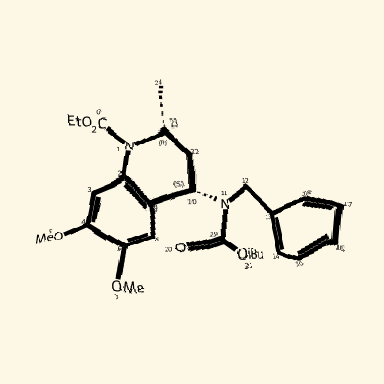 CCOC(=O)N1c2cc(OC)c(OC)cc2[C@@H](N(Cc2ccccc2)C(=O)OCC(C)C)C[C@H]1C